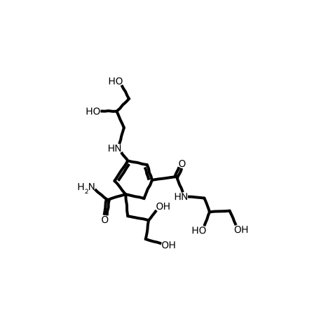 NC(=O)C1(CC(O)CO)C=C(NCC(O)CO)C=C(C(=O)NCC(O)CO)C1